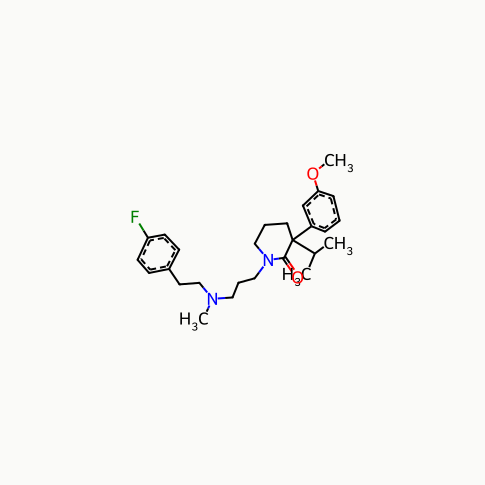 COc1cccc(C2(C(C)C)CCCN(CCCN(C)CCc3ccc(F)cc3)C2=O)c1